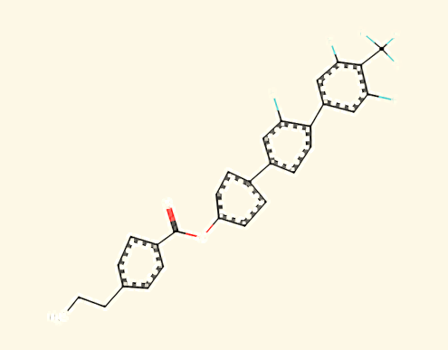 CCCc1ccc(C(=O)Oc2ccc(-c3ccc(-c4cc(F)c(C(F)(F)F)c(F)c4)c(F)c3)cc2)cc1